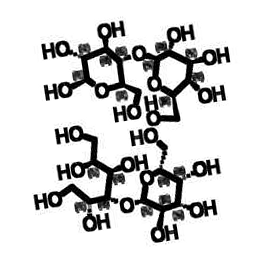 OC[C@@H](O)[C@@H](O[C@@H]1O[C@H](CO)[C@H](O)[C@H](O)[C@H]1O)[C@H](O)[C@@H](O)CO.OC[C@H]1O[C@@H](O[C@H]2[C@H](O)[C@@H](O)[C@H](O)O[C@@H]2CO)[C@H](O)[C@@H](O)[C@H]1O